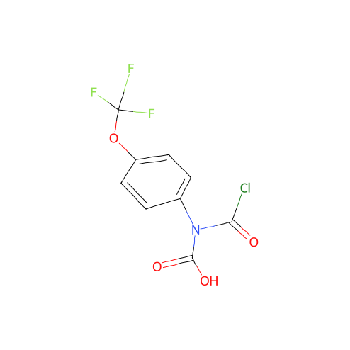 O=C(O)N(C(=O)Cl)c1ccc(OC(F)(F)F)cc1